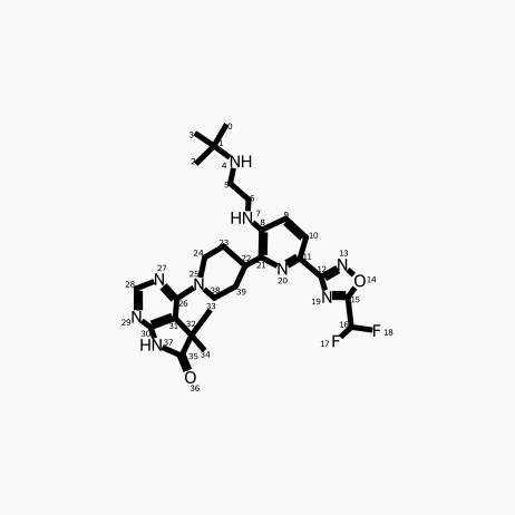 CC(C)(C)NCCNc1ccc(-c2noc(C(F)F)n2)nc1C1CCN(c2ncnc3c2C(C)(C)C(=O)N3)CC1